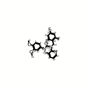 COc1ccc(N2Sc3cccnc3N(Cc3c(F)cc(F)cc3F)C2=O)cc1OC